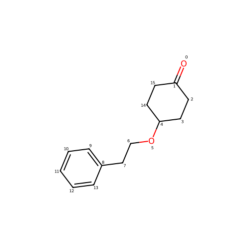 O=C1CCC(OCCc2ccccc2)CC1